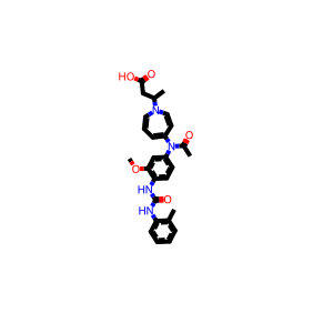 COc1cc(N(C(C)=O)C2=CC=CN(C(C)CC(=O)O)C=C2)ccc1NC(=O)Nc1ccccc1C